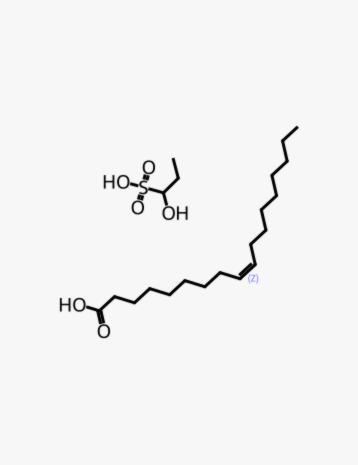 CCC(O)S(=O)(=O)O.CCCCCCCC/C=C\CCCCCCCC(=O)O